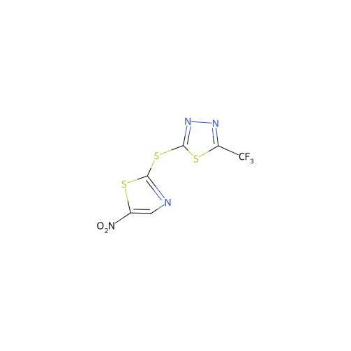 O=[N+]([O-])c1cnc(Sc2nnc(C(F)(F)F)s2)s1